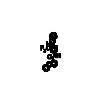 O=C(Nc1cnc(NCc2ccccn2)c(C(F)(F)F)c1)c1cccc2c1Cc1ccccc1-2